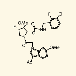 COc1ccc2c(C(C)=O)cn(CC(=O)N3C[C@H](F)[C@@H](OC)[C@@H]3OC(=O)NCc3cccc(Cl)c3F)c2c1